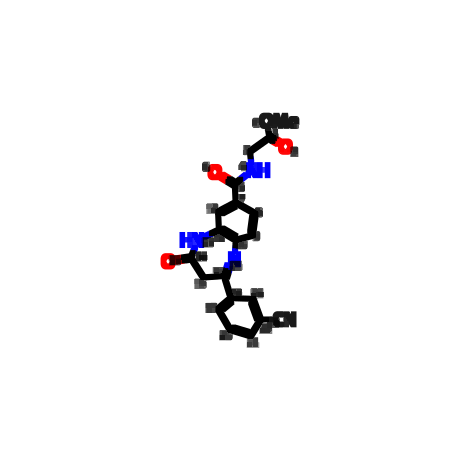 COC(=O)CNC(=O)c1ccc2c(c1)NC(=O)CC(c1cccc(C#N)c1)=N2